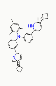 Cc1cc(C)c(N(c2cccc(C3=CC=C([SiH]4CCC4)CN3)c2)c2cccc(C3C=CC4([SiH]5CCC5)CN34)c2)c(C)c1